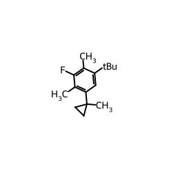 Cc1c(C(C)(C)C)cc(C2(C)CC2)c(C)c1F